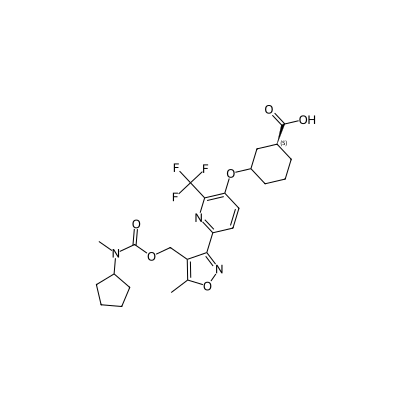 Cc1onc(-c2ccc(OC3CCC[C@H](C(=O)O)C3)c(C(F)(F)F)n2)c1COC(=O)N(C)C1CCCC1